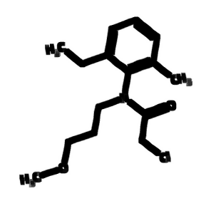 CCc1cccc(C)c1N(CCCOC)C(=O)CCl